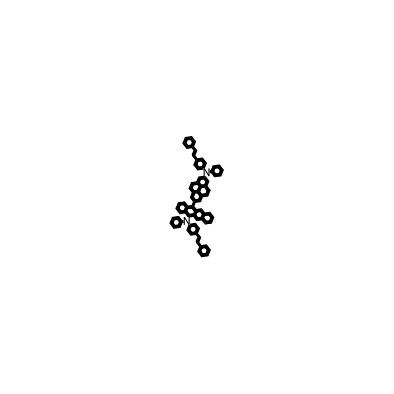 C(=Cc1ccc(N(c2ccccc2)c2cc3ccc4cc(-c5c6ccccc6c(N(c6ccccc6)c6ccc(C=Cc7ccccc7)cc6)c6cc7ccccc7cc56)cc5ccc(c2)c3c45)cc1)c1ccccc1